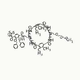 COCCOCCOCCN1CCNC(=O)c2ccc(c(C)c2C)C(=O)NCCN(CCNC(=O)c2ccc(C(=O)N3CCSC3=S)c(OCc3ccccc3)c2OCc2ccccc2)CCNC(=O)c2ccc(c(C)c2C)C(=O)NCC1